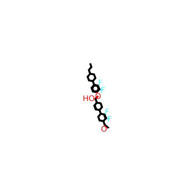 CCCC1CCC(c2ccc(OC(O)C3C=CC(C4CCC(C5CO5)C(F)=C4F)CC3)c(F)c2F)CC1